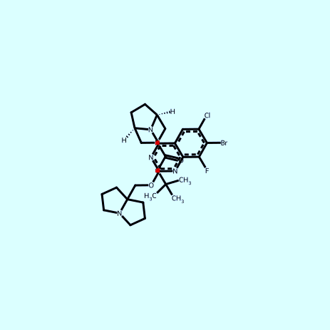 CC(C)(C)OC(=O)N1C[C@H]2CC[C@@H](C1)N2c1nc(OCC23CCCN2CCC3)nc2c(F)c(Br)c(Cl)cc12